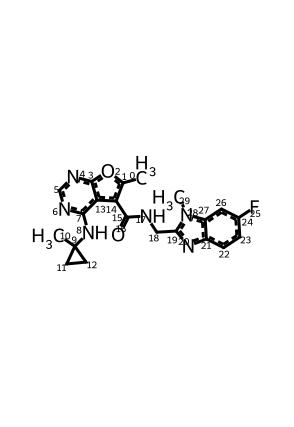 Cc1oc2ncnc(NC3(C)CC3)c2c1C(=O)NCc1nc2ccc(F)cc2n1C